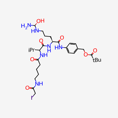 CC(C)C(NC(=O)CCCCNC(=O)CI)C(=O)N[C@@H](CCCNC(N)O)C(=O)Nc1ccc(COC(=O)C(C)(C)C)cc1